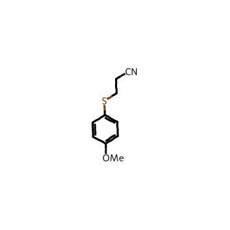 COc1ccc(SCCC#N)cc1